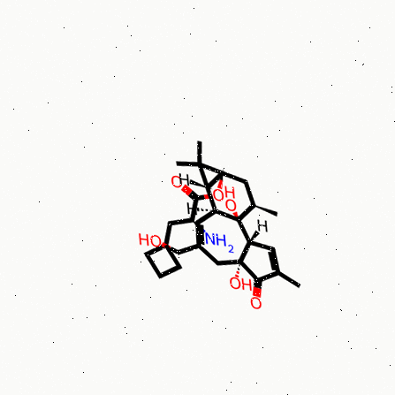 CC1=C[C@H]2[C@@]3(O)[C@H](C)C[C@]4(OC(=O)[C@@H](N)CC5CCC5)[C@H]([C@@H]3C=C(CO)C[C@]2(O)C1=O)C4(C)C